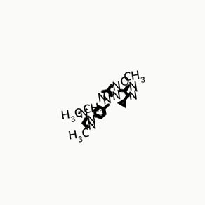 COc1ncnc(C2CC2)c1-c1ncc2cnn(Cc3ccc(-n4nc(C)cc4N(C)C)cc3)c2n1